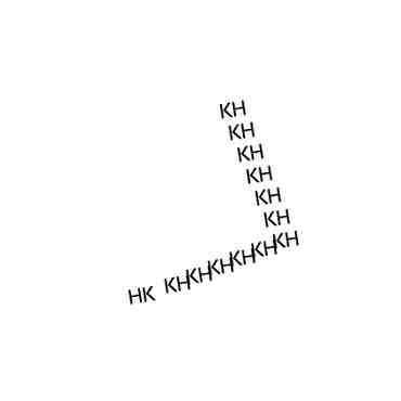 [KH].[KH].[KH].[KH].[KH].[KH].[KH].[KH].[KH].[KH].[KH].[KH].[KH]